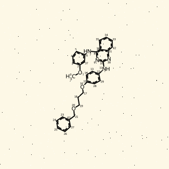 COc1cccc(Nc2nc(Nc3ccc(OCCCOCc4ccccc4)cc3)nc3ccccc23)c1